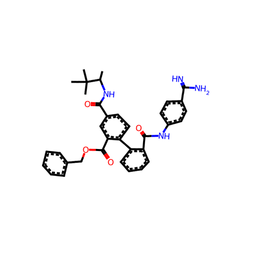 CC(NC(=O)c1ccc(-c2ccccc2C(=O)Nc2ccc(C(=N)N)cc2)c(C(=O)OCc2ccccc2)c1)C(C)(C)C